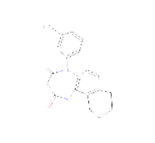 Nc1cccc(N2C(=O)CC(=O)Nc3c2ccc2c3CCCC2)c1